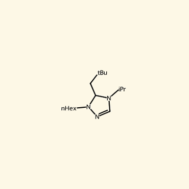 CCCCCCN1N=CN(C(C)C)C1CC(C)(C)C